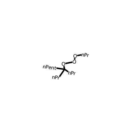 CCCCCC(CCC)(CCC)OOOCCC